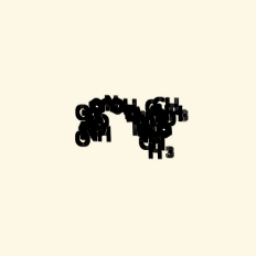 Cc1cnc(Nc2ccc(C3CCN(Cc4ccc5c(c4)C(=O)N(C4CCC(=O)NC4=O)C5=O)CC3)cc2)nc1Nc1cccc(S(=O)(=O)NC(C)(C)C)c1